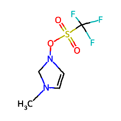 CN1C=CN(OS(=O)(=O)C(F)(F)F)C1